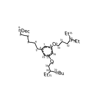 CCCCCCCCCCCCCCCc1cc(OCCCN(CC)CC)cc(OCC(CC)CCCC)c1